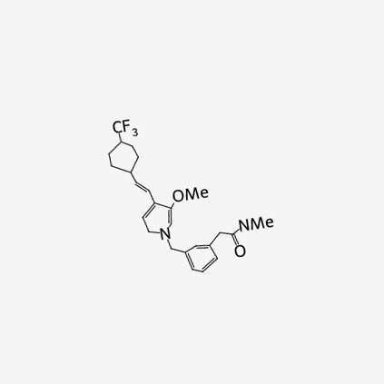 CNC(=O)Cc1cccc(CN2C=C(OC)C(/C=C/C3CCC(C(F)(F)F)CC3)=CC2)c1